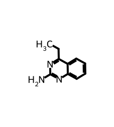 CCc1nc(N)nc2ccccc12